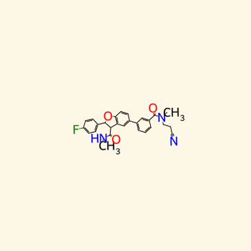 CNC(=O)C1c2cc(-c3cccc(C(=O)N(C)CCC#N)c3)ccc2OC1c1ccc(F)cc1